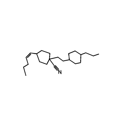 CCC/C=C\C1CCC(C#N)(CCC2CCC(CCC)CC2)CC1